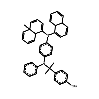 CC(C)(C)c1ccc(C(C)(C)N(c2ccccc2)c2ccc(N(C3=CC=CC4C=CC=CC34)C3=CC=CC4(C)C=CC=CC34)cc2)cc1